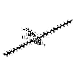 CCCCCCCCC=CCCCCCCCCOCC(OCCN(CCO)CCO)C(OCCCCCCCCC=CCCCCCCCC)S(N)(=O)=O